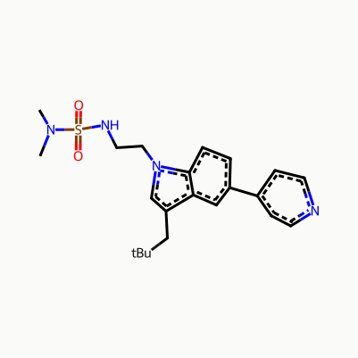 CN(C)S(=O)(=O)NCCn1cc(CC(C)(C)C)c2cc(-c3ccncc3)ccc21